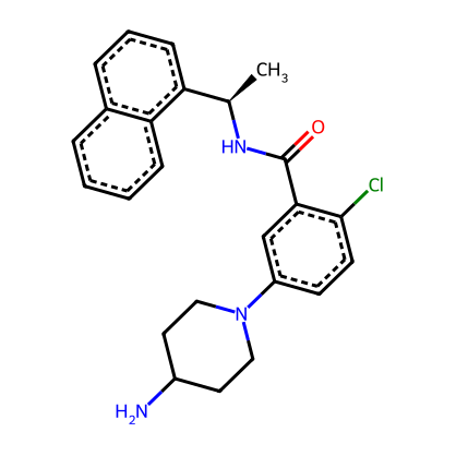 C[C@@H](NC(=O)c1cc(N2CCC(N)CC2)ccc1Cl)c1cccc2ccccc12